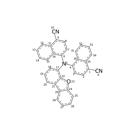 N#Cc1ccc(N(c2ccc(C#N)c3ccccc23)c2cccc3c2oc2ccccc23)c2ccccc12